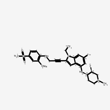 COc1cc(S(C)(=O)=O)ccc1NCC#Cc1cc2c(N[C@@H]3CCN(C)C[C@@H]3F)cc(F)cc2n1CC(F)(F)F